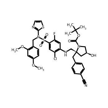 COc1ccc(CN(c2nccs2)S(=O)(=O)c2cc(Cl)c(NC[C@]3(Cc4ccc(C#N)cc4)C[C@H](O)CN3C(=O)OC(C)(C)C)cc2F)c(OC)c1